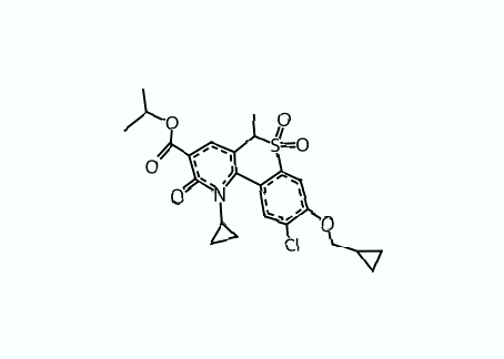 CC(C)OC(=O)c1cc2c(n(C3CC3)c1=O)-c1cc(Cl)c(OCC3CC3)cc1S(=O)(=O)C2C